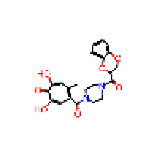 Cc1cc(O)c(=O)c(O)cc1C(=O)N1CCN(C(=O)C2COc3ccccc3O2)CC1